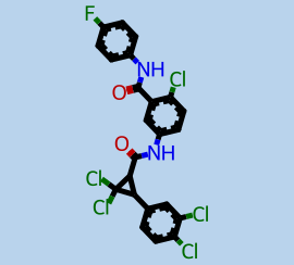 O=C(Nc1ccc(F)cc1)c1cc(NC(=O)C2C(c3ccc(Cl)c(Cl)c3)C2(Cl)Cl)ccc1Cl